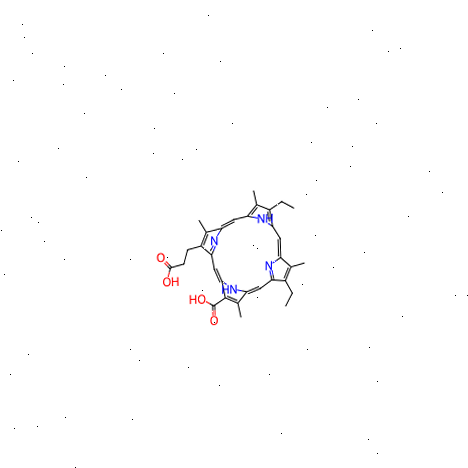 CCC1=C(C)c2cc3[nH]c(cc4nc(cc5[nH]c(cc1n2)c(C)c5C(=O)O)C(CCC(=O)O)=C4C)c(C)c3CC